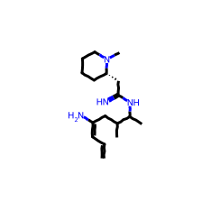 C=C/C=C(/N)CC(C)C(C)NC(=N)C[C@@H]1CCCCN1C